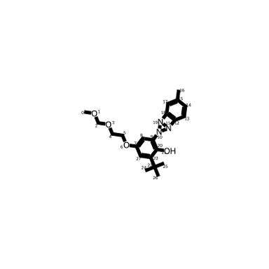 COCOCCOc1cc(-n2n3c4ccc(C)cc4n23)c(O)c(C(C)(C)C)c1